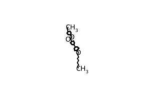 CCCCCCCCOc1ccc(-c2ccc(C(=O)Oc3ccc(CC)cc3)cc2)cc1